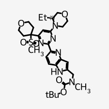 CC[C@H]1COCCN1c1cc(C2(S(C)(=O)=O)CCOCC2)nc(-c2ccc3[nH]c(CN(C)C(=O)OC(C)(C)C)cc3n2)n1